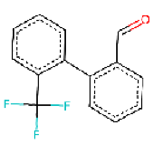 O=Cc1ccccc1-c1ccccc1C(F)(F)F